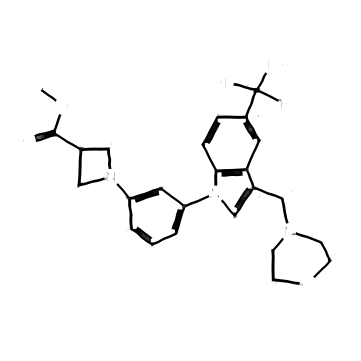 COC(=O)C1CN(c2cccc(-n3cc(CN4CCOCC4)c4cc(C(F)(F)F)ccc43)c2)C1